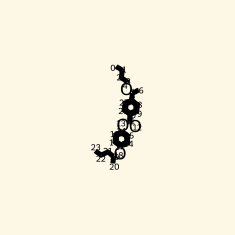 CCCCOC(C)c1ccc(C(=O)Oc2ccc(OC(C)CCC)cc2)cc1